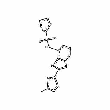 Cc1csc(-c2cc3cccc(NS(=O)(=O)c4cccs4)c3[nH]2)n1